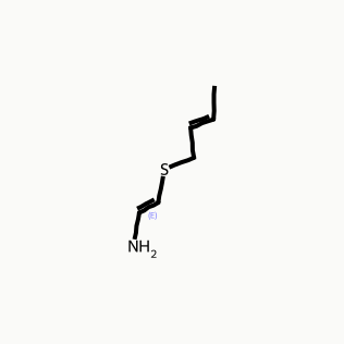 CC=CCS/C=C/N